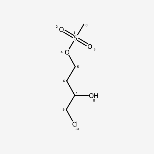 CS(=O)(=O)OCCC(O)CCl